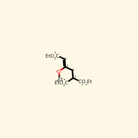 CCOC(=O)C=C(CC(C(=O)OCC)C(=O)OCC)OCC